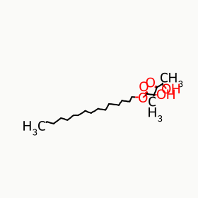 CCCCCCCCCCCCCCCCOC(=O)C(C)(O)C(=O)C(C)O